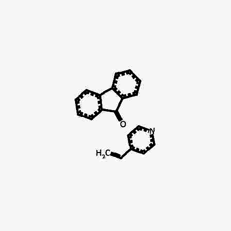 C=Cc1ccncc1.O=C1c2ccccc2-c2ccccc21